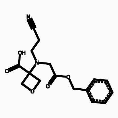 N#CCCN(CC(=O)OCc1ccccc1)C1(C(=O)O)COC1